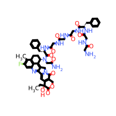 CC[C@@]1(O)C(=O)OCc2c1cc1n(c2=O)Cc2c-1nc1cc(F)c(C)c3c1c2[C@@H](N(CC(N)=O)C(=O)[C@H](Cc1ccccc1)NC(=O)CNC(=O)CNC(=O)CNC(=O)[C@H](Cc1ccccc1)NC(=O)CNC(=O)CN)CC3